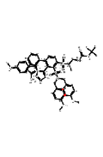 COc1ccc(CN(Cc2ccc(OC)cc2)S(=O)(=O)c2c(S(=O)(=O)[C@H](C)CNC(=O)OC(C)(C)C)ccc(-c3cccc4sc(N)nc34)c2-c2nnnn2Cc2ccc(OC)cc2)cc1